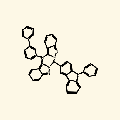 c1ccc(-c2cccc(N3c4c5ccccc5nn4B(c4ccc5c(c4)c4ccccc4n5-c4ccccc4)n4nc5ccccc5c43)c2)cc1